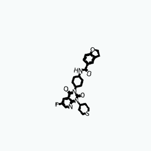 O=C(NC1CCC(n2c(=O)c3cc(F)cnc3n(C3CCSCC3)c2=O)CC1)c1ccc2c(c1)CCO2